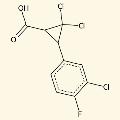 O=C(O)C1C(c2ccc(F)c(Cl)c2)C1(Cl)Cl